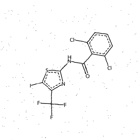 O=C(Nc1nc(C(F)(F)F)c(I)s1)c1c(Cl)cccc1Cl